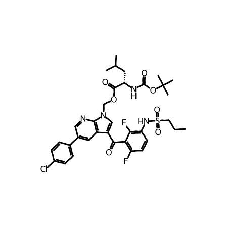 CCCS(=O)(=O)Nc1ccc(F)c(C(=O)c2cn(COC(=O)[C@H](CC(C)C)NC(=O)OC(C)(C)C)c3ncc(-c4ccc(Cl)cc4)cc23)c1F